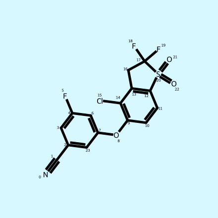 N#Cc1cc(F)cc(Oc2ccc3c(c2Cl)CC(F)(F)S3(=O)=O)c1